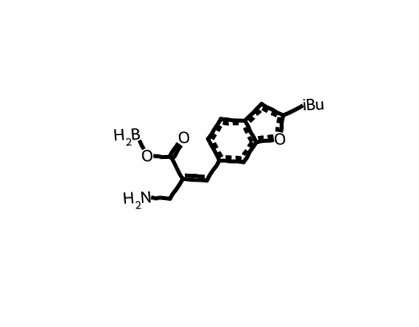 BOC(=O)/C(=C\c1ccc2cc(C(C)CC)oc2c1)CN